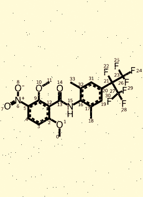 COc1ccc([N+](=O)[O-])c(OC)c1C(=O)Nc1c(C)cc(C(F)(C(F)(F)F)C(F)(F)F)cc1C